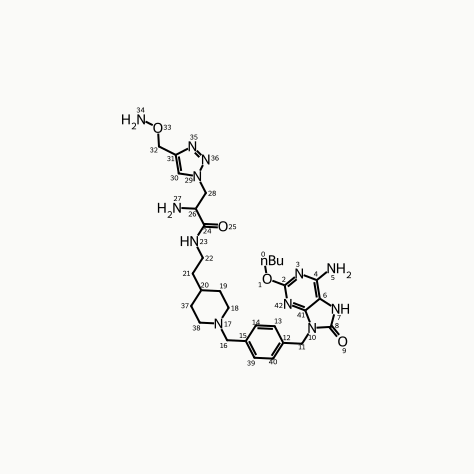 CCCCOc1nc(N)c2[nH]c(=O)n(Cc3ccc(CN4CCC(CCNC(=O)C(N)Cn5cc(CON)nn5)CC4)cc3)c2n1